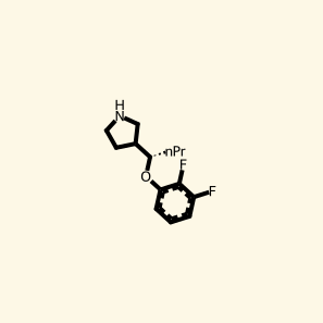 CCC[C@H](Oc1cccc(F)c1F)C1CCNC1